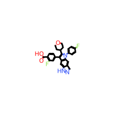 O=C(O)c1ccc(-c2c(C3CCOCC3)n(-c3ccc(F)cc3)c3cc4cn[nH]c4cc23)cc1F